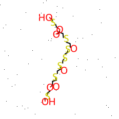 O=C(CCSCCC(=O)SCCSCCSC(=O)CCSCCC(=O)OCCSCO)OCCSCO